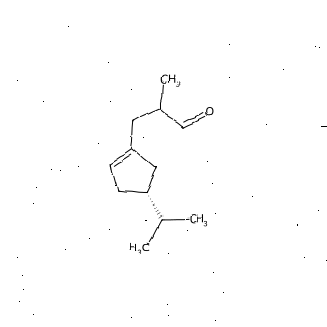 CC(C=O)CC1=CC[C@@H](C(C)C)C1